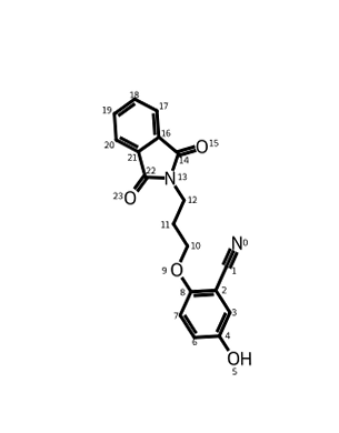 N#Cc1cc(O)ccc1OCCCN1C(=O)c2ccccc2C1=O